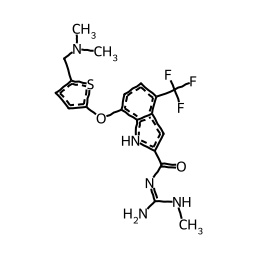 CNC(N)=NC(=O)c1cc2c(C(F)(F)F)ccc(Oc3ccc(CN(C)C)s3)c2[nH]1